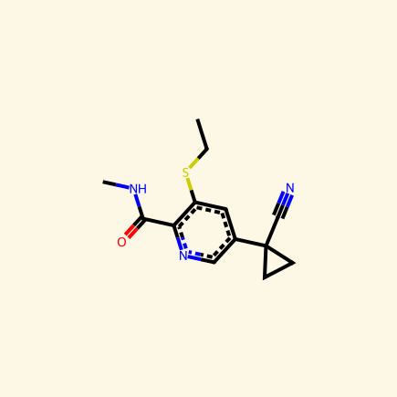 CCSc1cc(C2(C#N)CC2)cnc1C(=O)NC